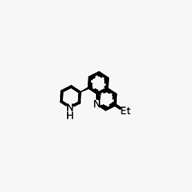 CCc1cnc2c([C@@H]3CCCNC3)cccc2c1